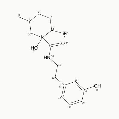 CC1CCC(C(C)C)C(O)(C(=O)NCCc2cccc(O)c2)C1